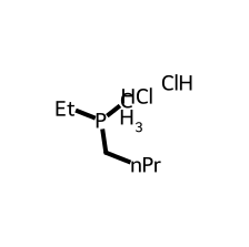 CCCCP(C)CC.Cl.Cl